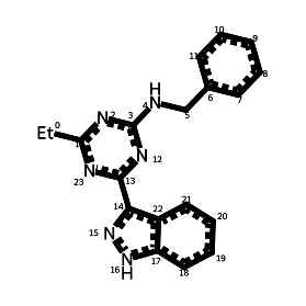 CCc1nc(NCc2ccccc2)nc(-c2n[nH]c3ccccc23)n1